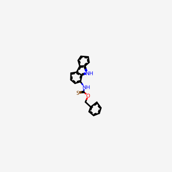 S=C(Nc1cccc2c1[nH]c1ccccc12)OCc1ccccc1